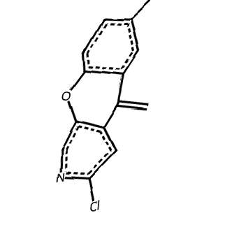 C=C1c2cc(Br)ccc2Oc2cnc(Cl)cc21